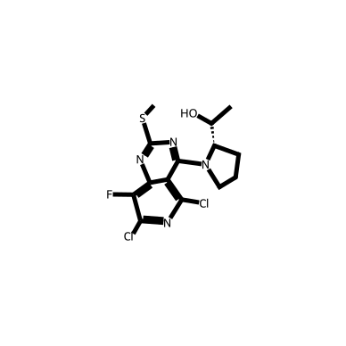 CSc1nc(N2CCC[C@H]2C(C)O)c2c(Cl)nc(Cl)c(F)c2n1